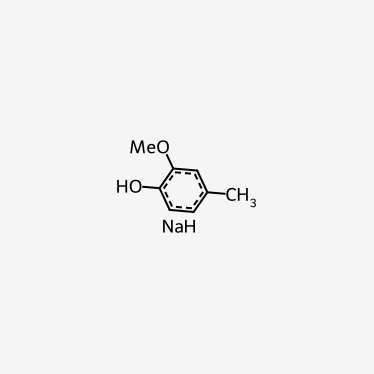 COc1cc(C)ccc1O.[NaH]